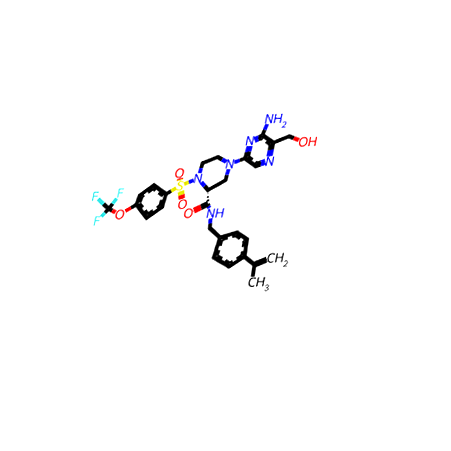 C=C(C)c1ccc(CNC(=O)[C@H]2CN(c3cnc(CO)c(N)n3)CCN2S(=O)(=O)c2ccc(OC(F)(F)F)cc2)cc1